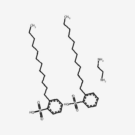 CCCCCCCCCCCCc1ccccc1S(=O)(=O)O.CCCCCCCCCCCCc1ccccc1S(=O)(=O)O.NCCN